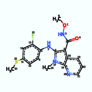 CONC(=O)c1c(Nc2ccc(SC)cc2F)n(C)c2ncccc12